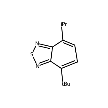 CC(C)c1ccc(C(C)(C)C)c2nsnc12